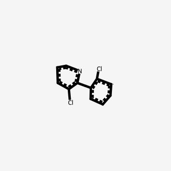 Clc1[c]cccc1-c1ncccc1Cl